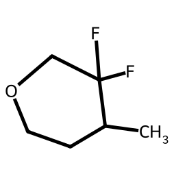 CC1CCOCC1(F)F